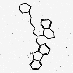 c1cnc2c(c1)CCCC2N(CCCCN1CCOCC1)Cc1nccc2c1[nH]c1ccccc12